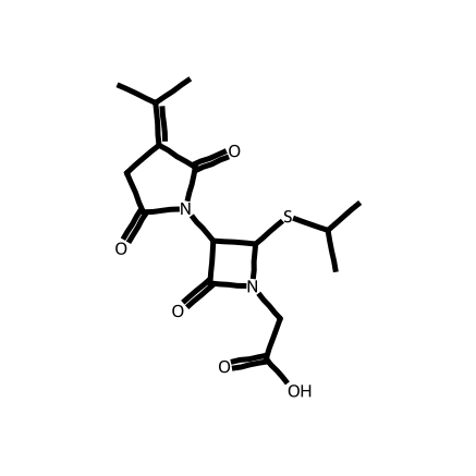 CC(C)=C1CC(=O)N(C2C(=O)N(CC(=O)O)C2SC(C)C)C1=O